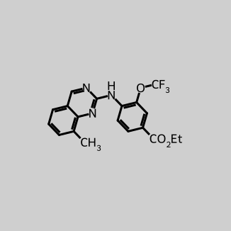 CCOC(=O)c1ccc(Nc2ncc3cccc(C)c3n2)c(OC(F)(F)F)c1